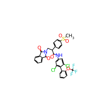 CS(=O)(=O)c1ccc(C(CN2C(=O)c3ccccc3C2=O)C(=O)Nc2cc(Cl)c(-c3ccccc3OC(F)(F)F)c(Cl)c2)cc1